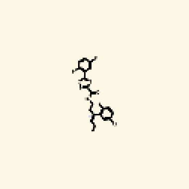 CC/C=C(/CCNC(=O)c1noc(-c2cc(F)ccc2F)n1)c1cc(Cl)ccc1C